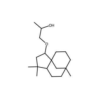 CC(O)COC1CC(C)(C)C2CCC3(C)CCCC12C3